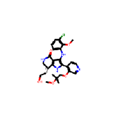 COc1c(Cl)cccc1Nc1c(-c2ccncc2OCC(C)(C)OC)[nH]c2c1C(=O)NC[C@H]2CCO